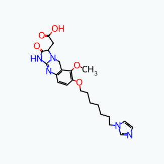 COc1c(OCCCCCCCn2ccnc2)ccc2c1CN1C(=N2)NC(=O)C1CC(=O)O